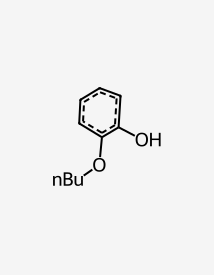 CCCCOc1ccccc1O